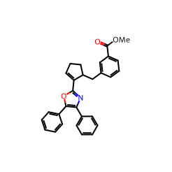 COC(=O)c1cccc(CC2CCC=C2c2nc(-c3ccccc3)c(-c3ccccc3)o2)c1